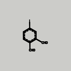 O=Cc1ccc(I)cc1C=O